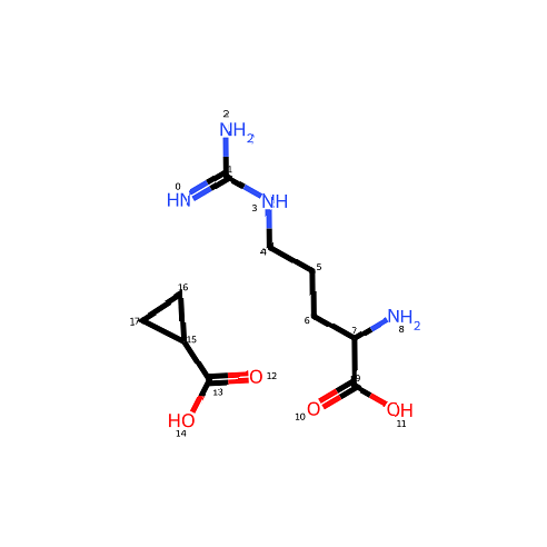 N=C(N)NCCCC(N)C(=O)O.O=C(O)C1CC1